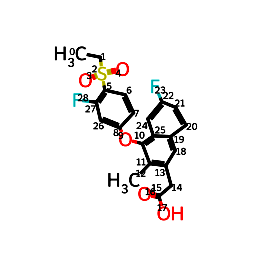 CCS(=O)(=O)c1ccc(Oc2c(C)c(CC(=O)O)cc3ccc(F)cc23)cc1F